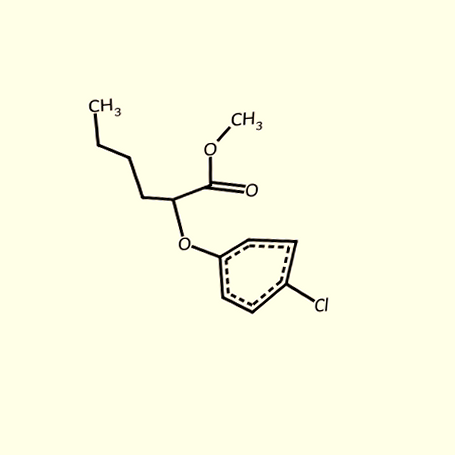 CCCCC(Oc1ccc(Cl)cc1)C(=O)OC